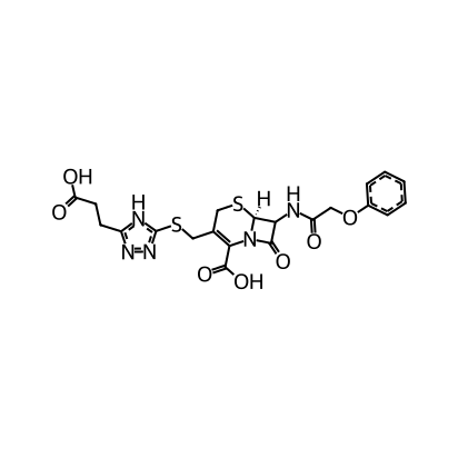 O=C(O)CCc1nnc(SCC2=C(C(=O)O)N3C(=O)C(NC(=O)COc4ccccc4)[C@@H]3SC2)[nH]1